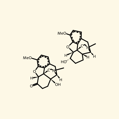 COc1ccc2c3c1O[C@H]1C(=O)CC[C@@]4(O)[C@@H](C2)N(C)CC[C@]314.COc1ccc2c3c1O[C@H]1[C@@H](O)CC[C@H]4[C@@H](C2)N(C)CC[C@@]341